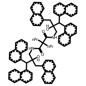 CCCC(CCC)(C(=O)NCC(O)(Cc1cccc2ccccc12)C(c1cccc2ccccc12)c1cccc2ccccc12)C(=O)NCC(O)(Cc1cccc2ccccc12)C(c1cccc2ccccc12)c1cccc2ccccc12